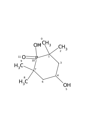 CC1(C)CC(O)CC(C)(C)P1(=O)O